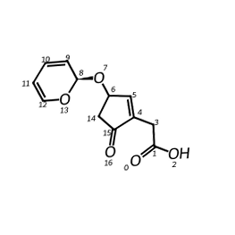 O=C(O)CC1=CC(O[C@@H]2C=CC=CO2)CC1=O